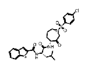 CC(C)C[C@H](NC(=O)c1cc2ccccc2s1)C(=O)N[C@@H]1CCCN(S(=O)(=O)c2ccc(Cl)cc2)CC1=O